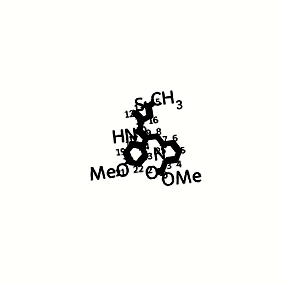 COC(=O)c1cccc(Cc2c(-c3csc(C)c3)[nH]c3cc(OC)ccc23)n1